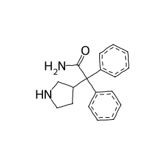 NC(=O)C(c1ccccc1)(c1ccccc1)C1CCNC1